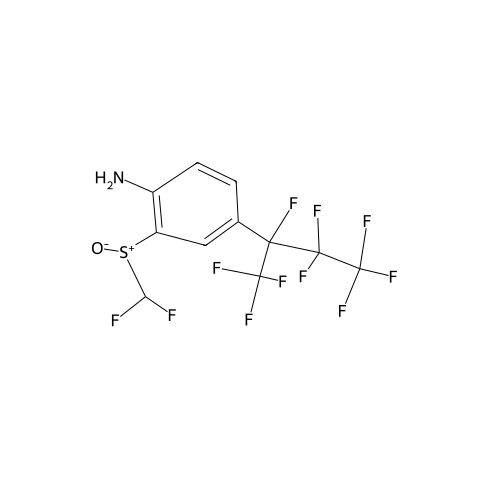 Nc1ccc(C(F)(C(F)(F)F)C(F)(F)C(F)(F)F)cc1[S+]([O-])C(F)F